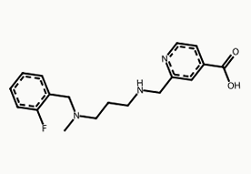 CN(CCCNCc1cc(C(=O)O)ccn1)Cc1ccccc1F